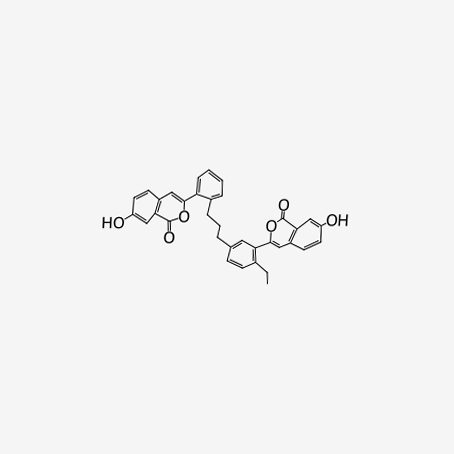 CCc1ccc(CCCc2ccccc2-c2cc3ccc(O)cc3c(=O)o2)cc1-c1cc2ccc(O)cc2c(=O)o1